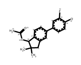 CC1(C)Cc2cc(-c3ccc(Cl)c(F)c3)ccc2C1OC(N)=O